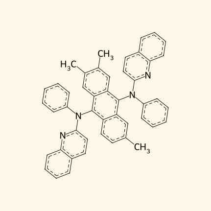 Cc1ccc2c(N(c3ccccc3)c3ccc4ccccc4n3)c3cc(C)c(C)cc3c(N(c3ccccc3)c3ccc4ccccc4n3)c2c1